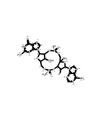 BC12CO[P@@](=O)(S)OC3C(OC)C(CO[P@](B)(=O)OC1C(F)C(n1cnc4c(N)ncnc41)O2)OC3n1cnc2c(=O)[nH]c(N)nc21